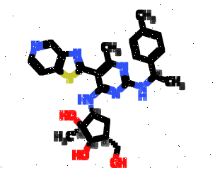 Cc1ccc([C@@H](C)Nc2nc(C)c(-c3nc4cnccc4s3)c(N[C@@H]3C[C@H](CO)[C@@H](O)[C@@]3(C)O)n2)cc1